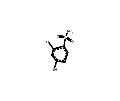 NS(=O)(=O)c1ccc(S)cc1Cl